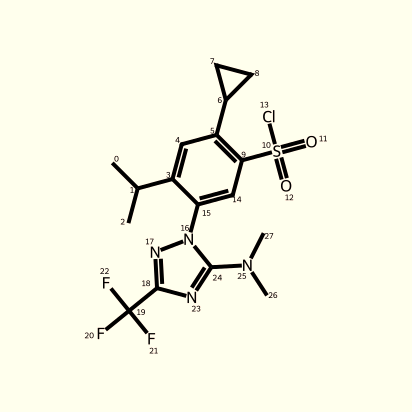 CC(C)c1cc(C2CC2)c(S(=O)(=O)Cl)cc1-n1nc(C(F)(F)F)nc1N(C)C